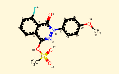 O=c1c2c(F)cccc2c(OS(=O)(=O)C(F)(F)F)nn1-c1ccc(OC(F)(F)F)cc1